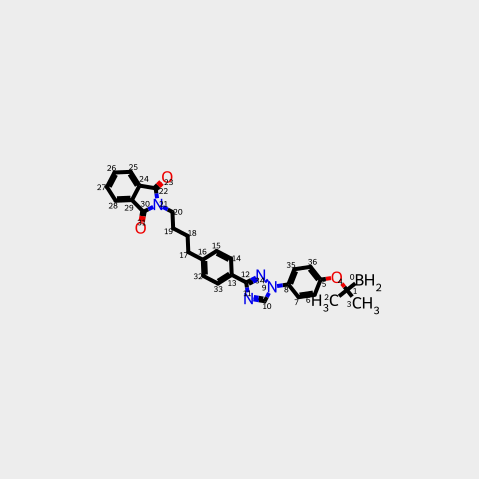 BC(C)(C)Oc1ccc(-n2cnc(-c3ccc(CCCCN4C(=O)c5ccccc5C4=O)cc3)n2)cc1